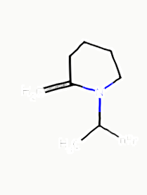 C=C1CCCCN1C(C)CCC